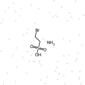 N.O=S(=O)(O)CCBr